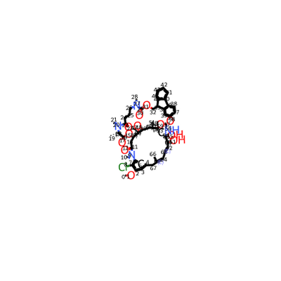 COc1cc2cc(c1Cl)N(C)C(=O)C[C@H](OC(=O)[C@H](C)N(C)C(=O)CCCN(C)C(=O)OCC1c3ccccc3-c3ccccc31)[C@]1(C)OC1[C@H](C)[C@@H]1C[C@@](O)(NC(=O)O1)[C@H](O)/C=C/C=C(\C)C2